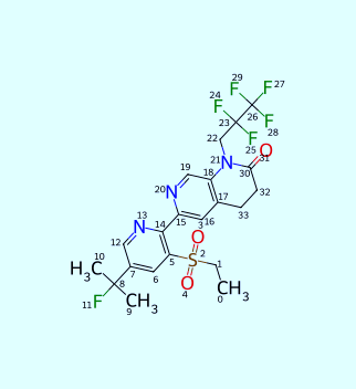 CCS(=O)(=O)c1cc(C(C)(C)F)cnc1-c1cc2c(cn1)N(CC(F)(F)C(F)(F)F)C(=O)CC2